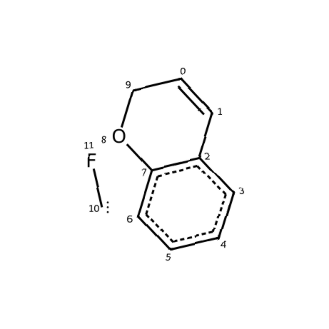 C1=Cc2ccccc2OC1.[C]F